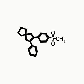 CS(=O)(=O)c1ccc(C2=C(c3ccccc3)CC3(CCCC3)C2)cc1